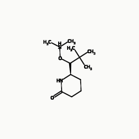 C[SiH](C)OC([C@H]1CCCC(=O)N1)C(C)(C)C